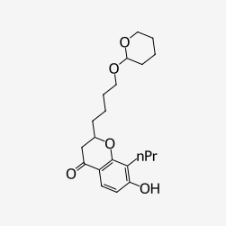 CCCc1c(O)ccc2c1OC(CCCCOC1CCCCO1)CC2=O